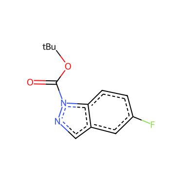 CC(C)(C)OC(=O)n1ncc2cc(F)ccc21